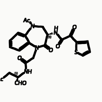 CC(=O)C[C@@H](C=O)NC(=O)CN1C(=O)[C@@H](NC(=O)C(=O)c2cccs2)CN(C(C)=O)c2ccccc21